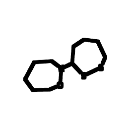 C1CCON([C]2CCCCSS2)CC1